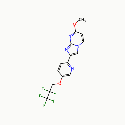 COc1ccn2cc(-c3ccc(OCC(F)(F)C(F)(F)F)cn3)nc2n1